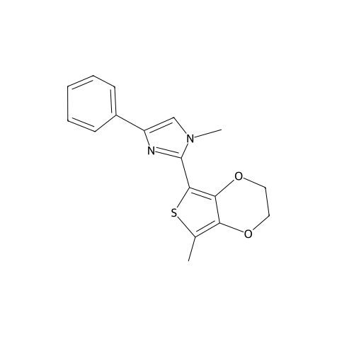 Cc1sc(-c2nc(-c3ccccc3)cn2C)c2c1OCCO2